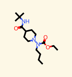 CCCCN(C(=O)OCC)N1CCC(C(=O)NC(C)(C)C)CC1